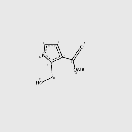 COC(=O)c1ccnn1CO